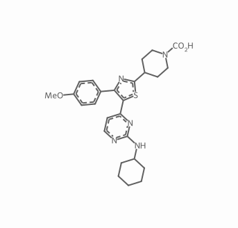 COc1ccc(-c2nc(C3CCN(C(=O)O)CC3)sc2-c2ccnc(NC3CCCCC3)n2)cc1